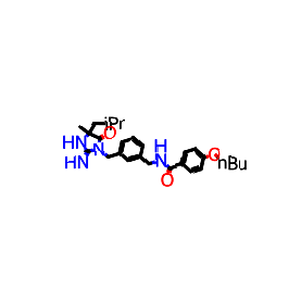 CCCCOc1ccc(C(=O)NCc2cccc(CN3C(=N)NC(C)(CC(C)C)C3=O)c2)cc1